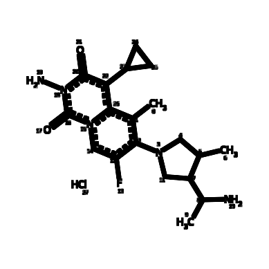 Cc1c(N2CC(C)C(C(C)N)C2)c(F)cn2c(=O)n(N)c(=O)c(C3CC3)c12.Cl